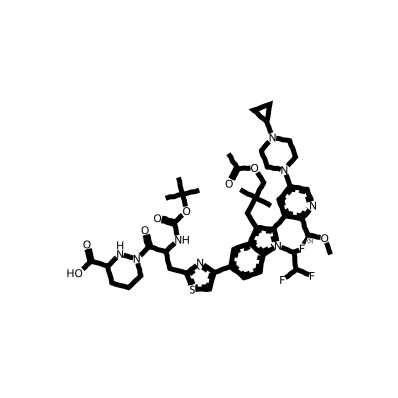 CO[C@@H](C)c1ncc(N2CCN(C3CC3)CC2)cc1-c1c(CC(C)(C)COC(C)=O)c2cc(-c3csc(CC(NC(=O)OC(C)(C)C)C(=O)N4CCCC(C(=O)O)N4)n3)ccc2n1C(F)C(F)F